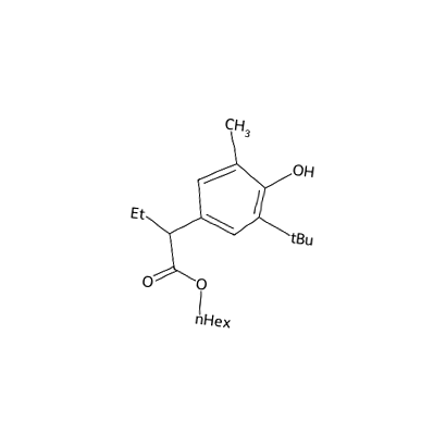 CCCCCCOC(=O)C(CC)c1cc(C)c(O)c(C(C)(C)C)c1